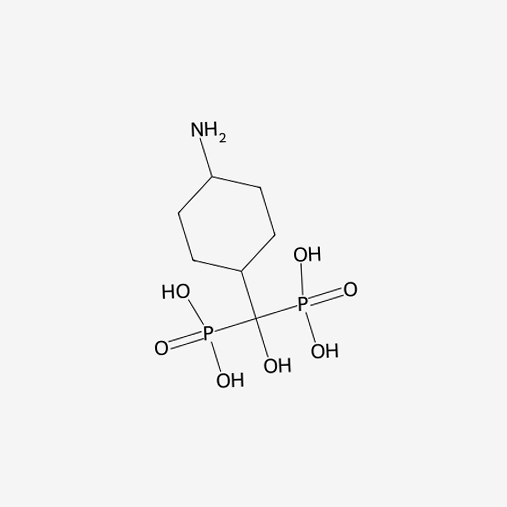 NC1CCC(C(O)(P(=O)(O)O)P(=O)(O)O)CC1